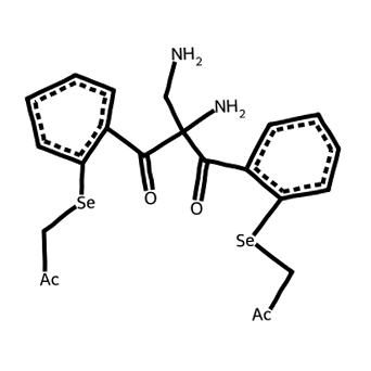 CC(=O)C[Se]c1ccccc1C(=O)C(N)(CN)C(=O)c1ccccc1[Se]CC(C)=O